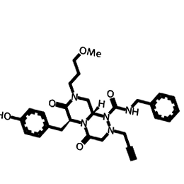 C#CCN1CC(=O)N2[C@@H](Cc3ccc(O)cc3)C(=O)N(CCCOC)C[C@@H]2N1C(=O)NCc1ccccc1